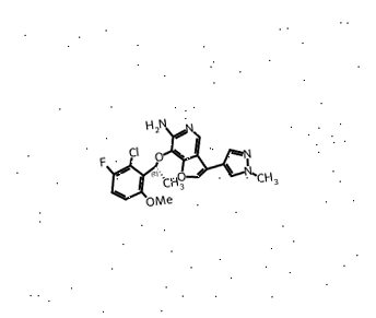 COc1ccc(F)c(Cl)c1[C@@H](C)Oc1c(N)ncc2c(-c3cnn(C)c3)coc12